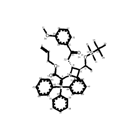 C=CCOC(=O)C(N1C(=O)[C@H](C(C)O[Si](C)(C)C(C)(C)C)[C@H]1CC(=O)c1cccc(OC)c1)=P(c1ccccc1)(c1ccccc1)c1ccccc1